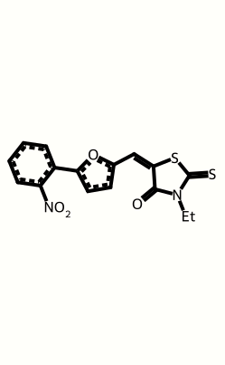 CCN1C(=O)/C(=C\c2ccc(-c3ccccc3[N+](=O)[O-])o2)SC1=S